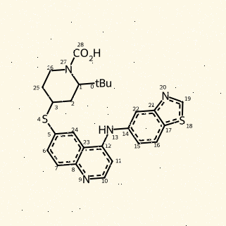 CC(C)(C)C1CC(Sc2ccc3nccc(Nc4ccc5scnc5c4)c3c2)CCN1C(=O)O